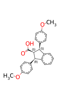 COc1ccc([C@@H]2c3ccccc3[C@H](c3ccc(OC)cc3)[C@@H]2C(=O)O)cc1